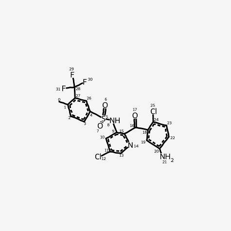 Cc1ccc(S(=O)(=O)Nc2cc(Cl)cnc2C(=O)c2cc(N)ccc2Cl)cc1C(F)(F)F